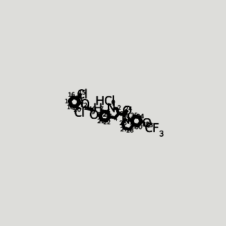 Cl.NCC(Cc1ccc(OCCOc2c(Cl)cccc2Cl)cc1)C(=O)N1CCCc2cc(OC(F)(F)F)ccc21